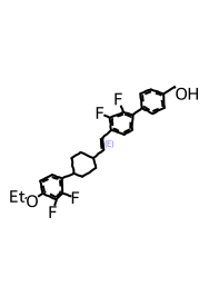 CCOc1ccc(C2CCC(/C=C/c3ccc(-c4ccc(CO)cc4)c(F)c3F)CC2)c(F)c1F